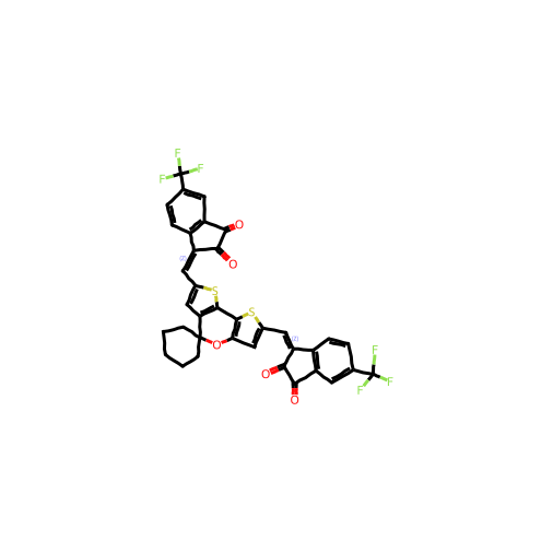 O=C1C(=O)c2cc(C(F)(F)F)ccc2/C1=C/c1cc2c(s1)-c1sc(/C=C3\C(=O)C(=O)c4cc(C(F)(F)F)ccc43)cc1C1(CCCCC1)O2